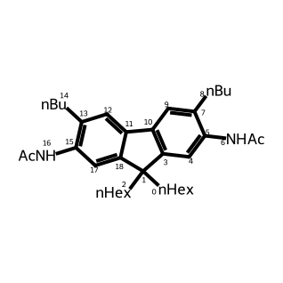 CCCCCCC1(CCCCCC)c2cc(NC(C)=O)c(CCCC)cc2-c2cc(CCCC)c(NC(C)=O)cc21